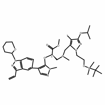 C=Cc1nn(C2CCCCO2)c2ccc(-c3cnn(C)c3O[C@H](CN(C)Cc3c(I)c(OC(C)C)nn3CCO[Si](C)(C)C(C)(C)C)C(=O)OC)cc12